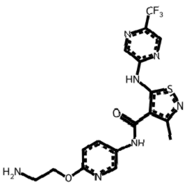 Cc1nsc(Nc2cnc(C(F)(F)F)cn2)c1C(=O)Nc1ccc(OCCN)nc1